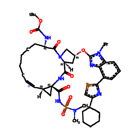 CC(C)n1c(O[C@@H]2C[C@H]3C(=O)N[C@]4(C(=O)NS(=O)(=O)N(C)C)C[C@H]4/C=C\CCCCC[C@H](NC(=O)OC(C)(C)C)C(=O)N3C2)nc2c(-c3nc(C4CCCCC4)cs3)cccc21